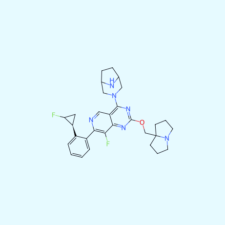 Fc1c(-c2ccccc2[C@@H]2CC2F)ncc2c(N3CC4CCC(C3)N4)nc(OCC34CCCN3CCC4)nc12